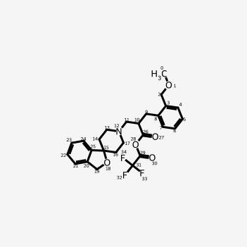 COCc1ccccc1CC(CN1CCC2(CC1)OCc1ccccc12)C(=O)OC(=O)C(F)(F)F